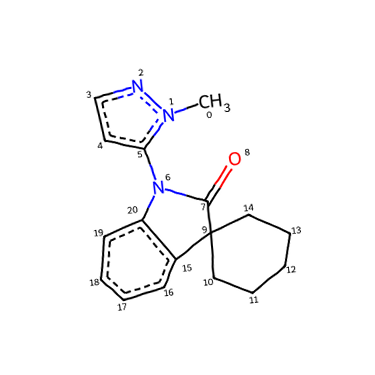 Cn1nccc1N1C(=O)C2(CCCCC2)c2ccccc21